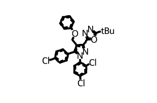 CC(C)(C)c1nnc(-c2nn(-c3ccc(Cl)cc3Cl)c(-c3ccc(Cl)cc3)c2COc2ccccc2)o1